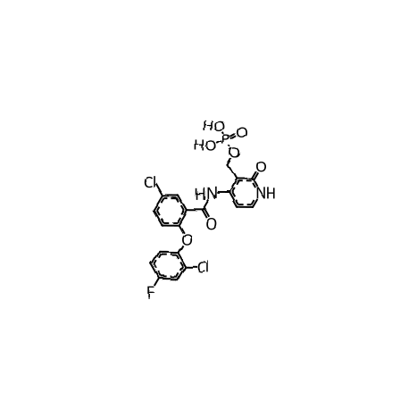 O=C(Nc1cc[nH]c(=O)c1COP(=O)(O)O)c1cc(Cl)ccc1Oc1ccc(F)cc1Cl